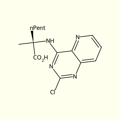 CCCCC[C@@](C)(Nc1nc(Cl)nc2cccnc12)C(=O)O